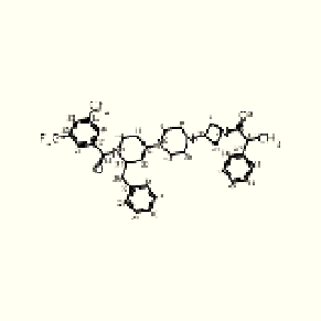 CC(C(=O)N1CC(N2CCN(C3CCN(C(=O)c4cc(C(F)(F)F)cc(C(F)(F)F)c4)C(Cc4ccccc4)C3)CC2)C1)c1ccccc1